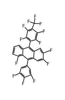 Fc1cc2c(-c3c(F)c(F)c(C(F)(F)F)c(F)c3F)c3cccc(F)c3c(-c3cc(F)c(F)c(F)c3)c2cc1F